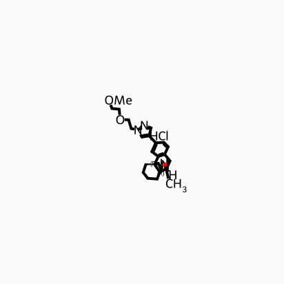 COCCOCCn1cc(-c2ccc3c(c2)[C@@]24CCCC[C@H]2[C@@H](C3)N(C)CC4)cn1.Cl